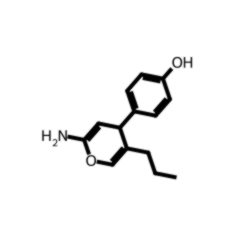 CCCC1=COC(N)=CC1c1ccc(O)cc1